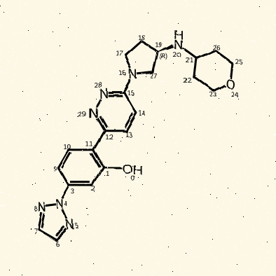 Oc1cc(-n2nccn2)ccc1-c1ccc(N2CC[C@@H](NC3CCOCC3)C2)nn1